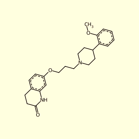 COc1ccccc1C1CCN(CCCOc2ccc3c(c2)NC(=O)CC3)CC1